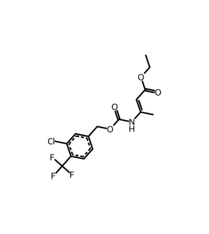 CCOC(=O)C=C(C)NC(=O)OCc1ccc(C(F)(F)F)c(Cl)c1